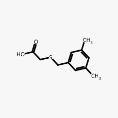 Cc1cc(C)cc(CSCC(=O)O)c1